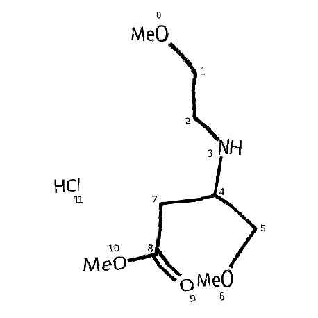 COCCNC(COC)CC(=O)OC.Cl